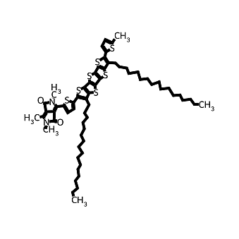 CCCCCCCCCCCCCCCCCc1c(-c2ccc(C)s2)sc2c1sc1c2sc2c3sc(-c4ccc(C5=C6C(=O)N(C)C(C)=C6C(=O)N5C)s4)c(CCCCCCCCCCCCCCCCC)c3sc21